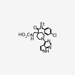 CCN(C(=O)C1(CNC(=O)O)CCN(c2ncnc3[nH]ccc23)CC1)c1ccc(Cl)cc1